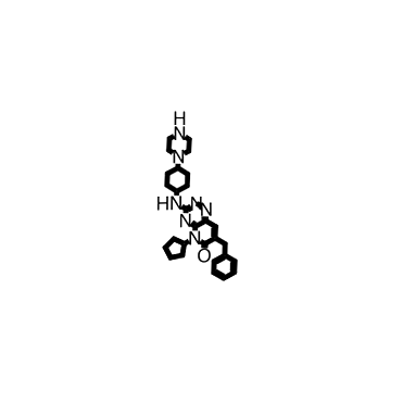 O=c1c(Cc2ccccc2)cc2nnc(NC3CCC(N4CCNCC4)CC3)nc2n1C1CCCC1